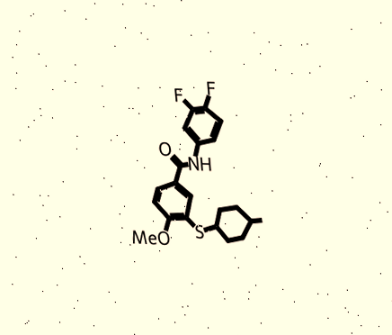 COc1ccc(C(=O)Nc2ccc(F)c(F)c2)cc1SC1CCC(C)CC1